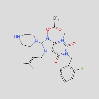 CC(C)=CCN1c2c(n(C)c(=O)n(Cc3ccccc3F)c2=O)N(OC(=O)C(F)(F)F)C1N1CCNCC1